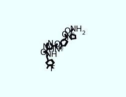 Cc1cc(CNC(=O)c2cc(C(=O)N[C@@H](C)c3ccc(C(=O)N4CCC[C@@H]4C(N)=O)cc3)ncn2)ccc1F